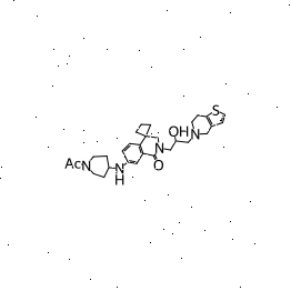 CC(=O)N1CCC(Nc2ccc3c(c2)C(=O)N(CC(O)CN2CCc4sccc4C2)CC32CCC2)CC1